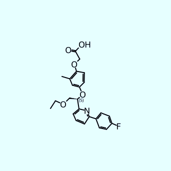 CCOC[C@@H](Oc1ccc(OCC(=O)O)c(C)c1)c1cccc(-c2ccc(F)cc2)n1